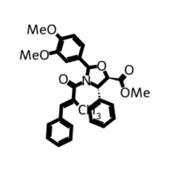 COC(=O)[C@@H]1OC(c2ccc(OC)c(OC)c2)N(C(=O)C(C)=Cc2ccccc2)[C@H]1c1ccccc1